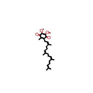 COC1=C(OC)C(=O)C(CC=C(C)CCC=C(C)CCC=C(C)CCC=C(C)C)=C(C)C1=O